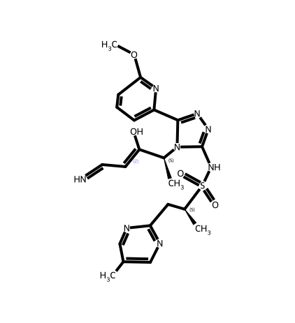 COc1cccc(-c2nnc(NS(=O)(=O)[C@@H](C)Cc3ncc(C)cn3)n2[C@@H](C)/C(O)=C/C=N)n1